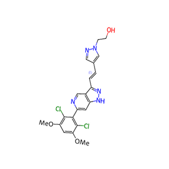 COc1cc(OC)c(Cl)c(-c2cc3[nH]nc(/C=C/c4cnn(CCO)c4)c3cn2)c1Cl